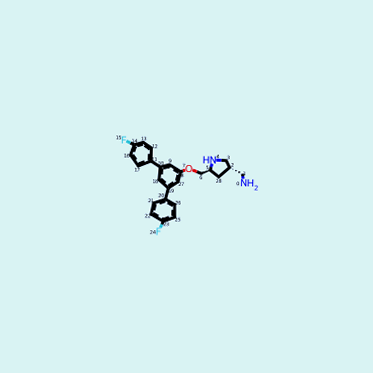 NC[C@H]1CN[C@H](COc2cc(-c3ccc(F)cc3)cc(-c3ccc(F)cc3)c2)C1